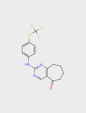 O=C1CCCCc2nc(Nc3ccc(SC(F)(F)F)cc3)ncc21